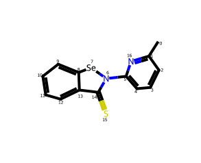 Cc1cccc(-n2[se]c3ccccc3c2=S)n1